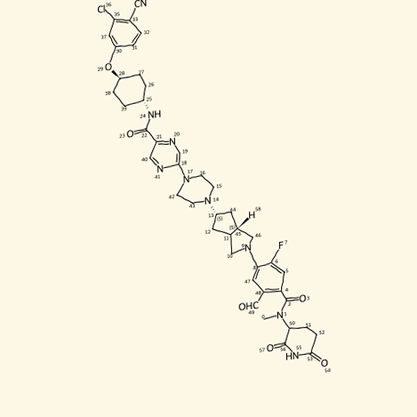 CN(C(=O)c1cc(F)c(N2CC3C[C@H](N4CCN(c5cnc(C(=O)N[C@H]6CC[C@H](Oc7ccc(C#N)c(Cl)c7)CC6)cn5)CC4)C[C@@H]3C2)cc1C=O)C1CCC(=O)NC1=O